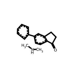 CNC.O=C1CCc2cc(-c3ccccc3)ccc21